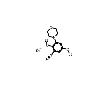 CCOc1cc([N+]#N)c(OCC)c(N2CCOCC2)c1.[Cl-].[Zn]